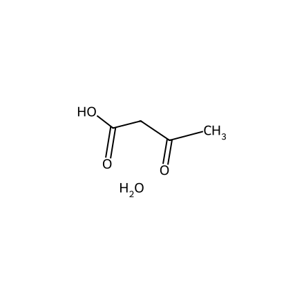 CC(=O)CC(=O)O.O